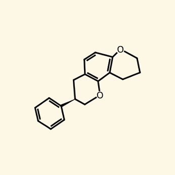 c1ccc([C@@H]2COc3c(ccc4c3CCCO4)C2)cc1